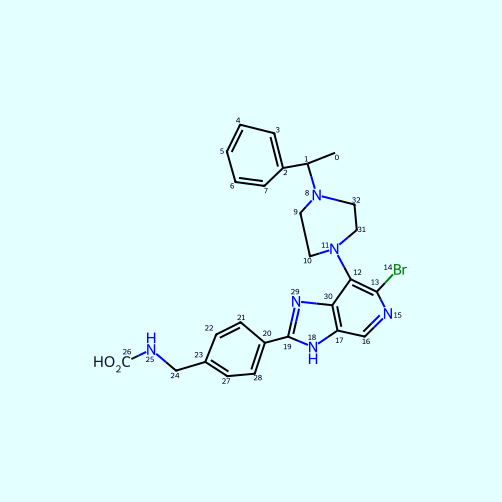 CC(c1ccccc1)N1CCN(c2c(Br)ncc3[nH]c(-c4ccc(CNC(=O)O)cc4)nc23)CC1